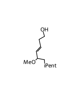 CCCC(C)CC(/C=C/CCO)OC